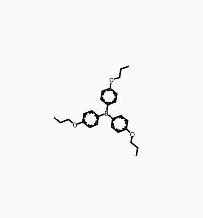 CCCOc1ccc(B(c2ccc(OCCC)cc2)c2ccc(OCCC)cc2)cc1